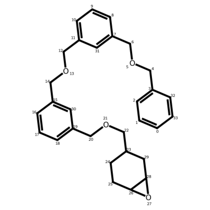 c1ccc(COCc2cccc(COCc3cccc(COCC4CCC5OC5C4)c3)c2)cc1